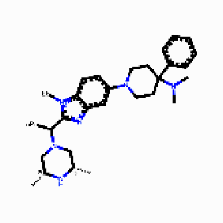 CCCC(c1nc2cc(N3CCC(c4ccccc4)(N(C)C)CC3)ccc2n1CC)N1C[C@@H](C)N[C@@H](C)C1